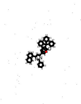 c1ccc(-c2nc(-c3cccc(-c4ccccc4C4(c5ccccc5)c5ccccc5Oc5ccccc54)c3)cc(-c3cccc4ccccc34)n2)cc1